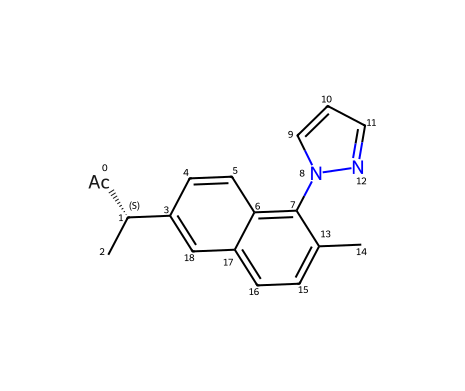 CC(=O)[C@@H](C)c1ccc2c(-n3cccn3)c(C)ccc2c1